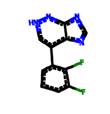 Fc1cccc(-c2c[nH]nc3ncnc2-3)c1F